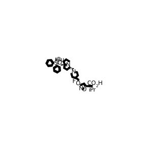 CC(C)C(C)(C(=O)O)c1cc(OCC2(F)CCN(C[C@@H]3CC[C@]4(CO[Si](c5ccccc5)(c5ccccc5)C(C)(C)C)CCCN34)CC2)no1